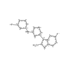 Cc1nc2ccc(F)cn2c1-c1cncc(Nc2cccc(F)c2)n1